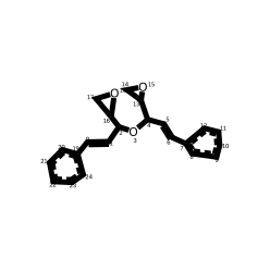 C(=C\C(OC(/C=C/c1ccccc1)C1CO1)C1CO1)/c1ccccc1